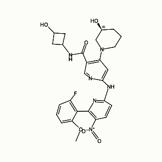 COc1cccc(F)c1-c1nc(Nc2cc(N3CCC[C@H](O)C3)c(C(=O)NC3CC(O)C3)cn2)ccc1[N+](=O)[O-]